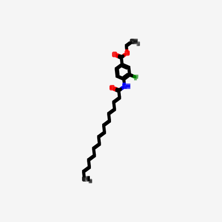 CCCCCCCCCCCCCCCC(=O)Nc1ccc(C(=O)OCC)cc1F